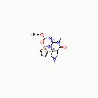 CN1CC2C(=O)N(C)/C(=N/C(=O)OC(C)(C)C)N[C@]2(c2cccs2)C1